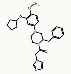 COc1ccc(N2CCN(C(=O)Cn3ccnc3)C(Cc3ccccc3)C2)cc1OC1CCCC1